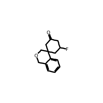 O=C1CC(F)CC2(COCc3ccccc32)C1